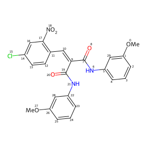 COc1cccc(NC(=O)C(=Cc2ccc(Cl)cc2[N+](=O)[O-])C(=O)Nc2cccc(OC)c2)c1